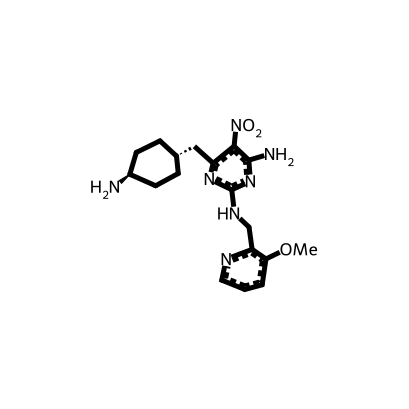 COc1cccnc1CNc1nc(N)c([N+](=O)[O-])c(C[C@H]2CC[C@H](N)CC2)n1